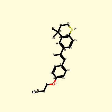 CC(=Cc1ccc(OCCC(C)(C)C)cc1)c1ccc2c(c1)C(C)(C)CCS2